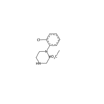 CC(=O)O.Clc1ccccc1N1CCNCC1